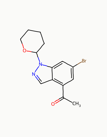 CC(=O)c1cc(Br)cc2c1cnn2C1CCCCO1